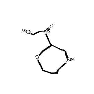 O=[PH](O)C1CNCCO1